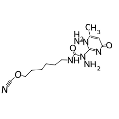 Cc1cc(=O)nc(N(N)C(=O)NCCCCCCOC#N)n1N